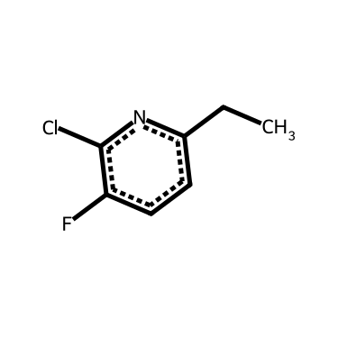 CCc1ccc(F)c(Cl)n1